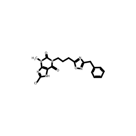 Cn1c(=O)n(CCCc2nc(Cc3ccccc3)no2)c(=O)c2[nH]c(Cl)nc21